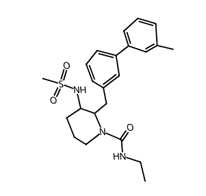 CCNC(=O)N1CCCC(NS(C)(=O)=O)C1Cc1cccc(-c2cccc(C)c2)c1